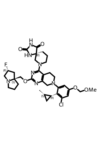 COCOc1cc(Cl)c([C@@H]2C[C@@H]2C)c(N2CCc3c(nc(OC[C@@]45CCCN4C[C@H](F)C5)nc3N3CCC[C@]4(C3)NC(=O)NC4=O)C2)c1